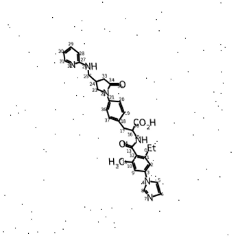 CCc1cc(-n2ccnc2)cc(C)c1C(=O)NC(Cc1ccc(N2CC(CNc3ccccn3)CC2=O)cc1)C(=O)O